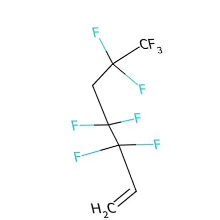 C=CC(F)(F)C(F)(F)CC(F)(F)C(F)(F)F